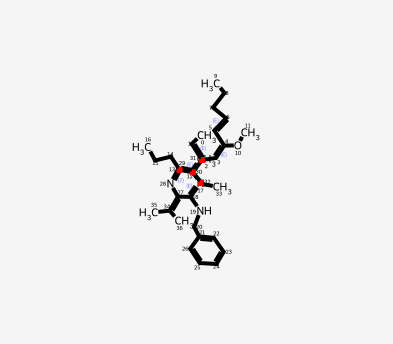 C/C=C(\C=C(/C=C/CCC)OC)C(=C\CCC)/N=C(/NCc1ccccc1)C(/N=C\C(C)CC)=C(C)C